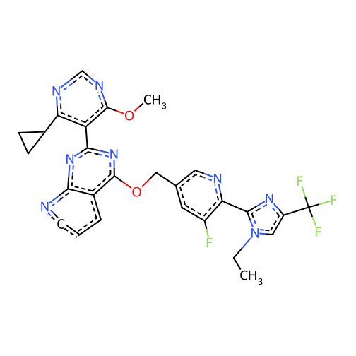 CCn1cc(C(F)(F)F)nc1-c1ncc(COc2nc(-c3c(OC)ncnc3C3CC3)nc3ncccc23)cc1F